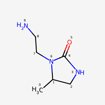 CC1CNC(=O)N1CCN